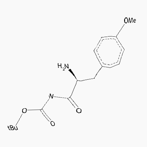 COc1ccc(C[C@H](N)C(=O)[N]C(=O)OC(C)(C)C)cc1